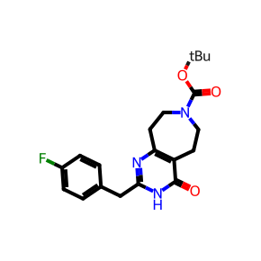 CC(C)(C)OC(=O)N1CCc2nc(Cc3ccc(F)cc3)[nH]c(=O)c2CC1